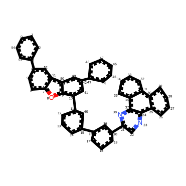 c1ccc(-c2ccc3oc4c(-c5cccc(-c6cccc(-c7cnc8c9ccccc9c9ccccc9c8n7)c6)c5)cc(-c5ccccc5)cc4c3c2)cc1